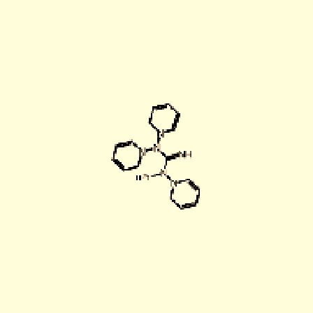 CCCN(C(=N)N(N1C=CC=CC1)N1C=CC=CC1)N1C=CC=CC1